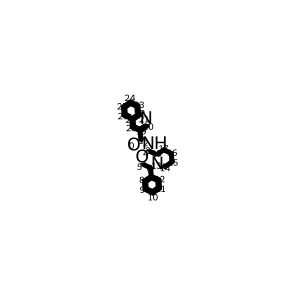 O=C(NC1OCC(c2ccccc2)N2CCCCC12)c1cnc2ccccc2c1